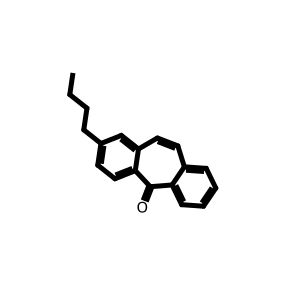 CCCCc1ccc2c(=O)c3ccccc3ccc2c1